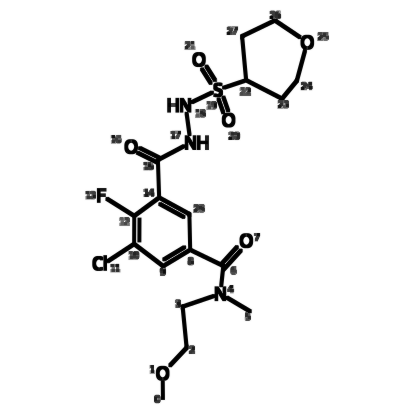 COCCN(C)C(=O)c1cc(Cl)c(F)c(C(=O)NNS(=O)(=O)C2CCOCC2)c1